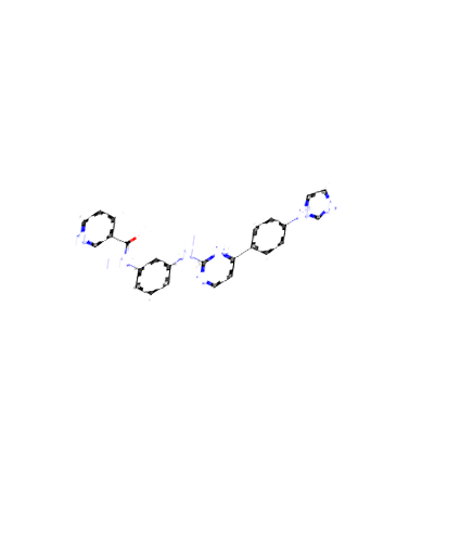 O=C(Nc1cccc(Nc2nccc(-c3ccc(-n4ccnc4)cc3)n2)c1)c1cccnc1